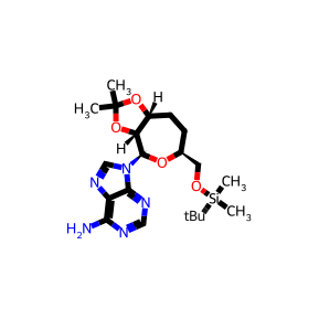 CC1(C)O[C@H]2[C@H](n3cnc4c(N)ncnc43)O[C@H](CO[Si](C)(C)C(C)(C)C)CC[C@H]2O1